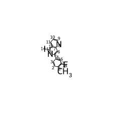 Cc1ccc(-c2cc3ncccc3c(I)n2)cc1F